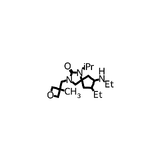 CCNC1CC2(CC1CC)CN(CC1(C)COC1)C(=O)N2C(C)C